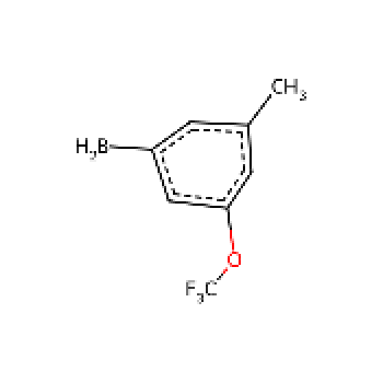 Bc1cc(C)cc(OC(F)(F)F)c1